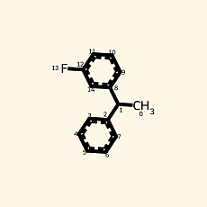 CC(c1ccccc1)c1cccc(F)c1